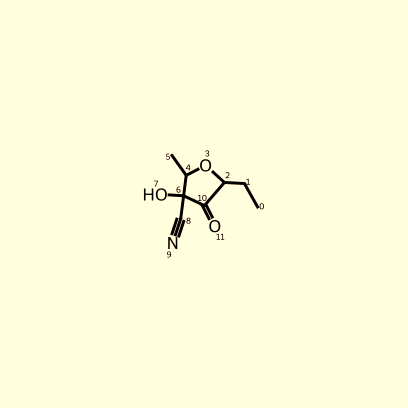 CCC1OC(C)C(O)(C#N)C1=O